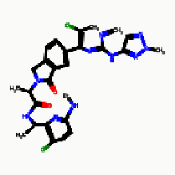 C=N/C(=N\C(=C(/C)Cl)c1ccc2c(c1)C(=O)N([C@H](C)C(=O)N[C@H](C)c1nc(NCC)ccc1Cl)C2)Nc1cnn(C)n1